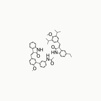 CCc1ccc2c(c1)C(=Cc1cc(C(C)C)c(OC)c(C(C)C)c1)C(=O)N2.COc1ccc(C=C2C(=O)Nc3ccccc32)cc1-c1cccc(NC(C)=O)c1